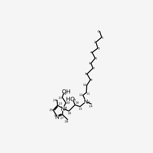 CCCCCCCCCCCCCN(C)CC(O)C[N+]1(CCO)C(C)=CN=C1C